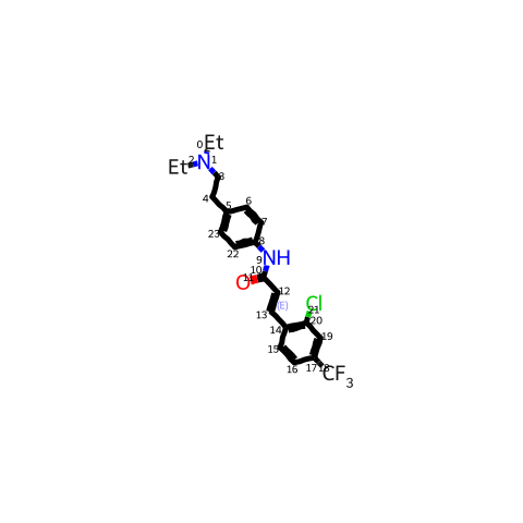 CCN(CC)CCc1ccc(NC(=O)/C=C/c2ccc(C(F)(F)F)cc2Cl)cc1